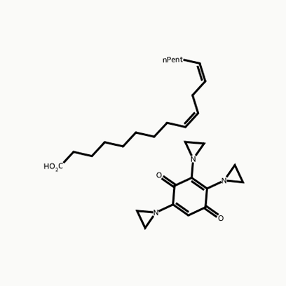 CCCCC/C=C\C/C=C\CCCCCCCC(=O)O.O=C1C=C(N2CC2)C(=O)C(N2CC2)=C1N1CC1